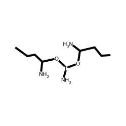 CCCC(N)OP(N)OC(N)CCC